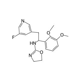 COc1cccc(C(Cc2cncc(F)c2)NC2=NCCO2)c1OC